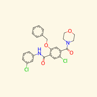 O=C(Nc1cccc(Cl)c1)c1cc(Cl)c(C(=O)N2CCOCC2)cc1OCc1ccccc1